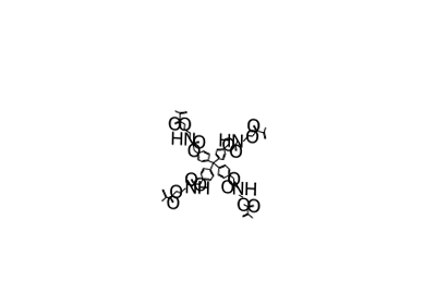 C=C(C)C(=O)OCCNC(=O)Oc1ccc(C(c2ccc(OC(=O)NCCOC(=O)C(=C)C)cc2)(c2ccc(OC(=O)NCCOC(=O)C(=C)C)cc2)c2ccc(OC(=O)NCCOC(=O)C(=C)C)cc2)cc1